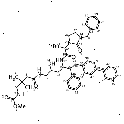 COC(=O)NCC(C)(C)CC(=O)NCC(O)CC(NC(=O)C(N1CCN(Cc2ccccc2)C1=O)C(C)(C)C)C(Cc1ccc(-c2cccnc2)cc1)c1ccccc1